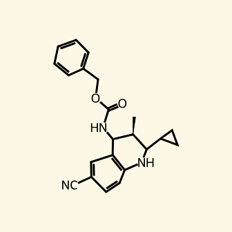 C[C@@H]1C(NC(=O)OCc2ccccc2)c2cc(C#N)ccc2NC1C1CC1